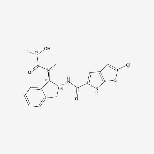 C[C@H](O)C(=O)N(C)[C@@H]1c2ccccc2C[C@H]1NC(=O)c1cc2cc(Cl)sc2[nH]1